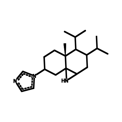 CC(C)C1CC2NC23CC(n2ccnc2)CC[C@]3(C)C1C(C)C